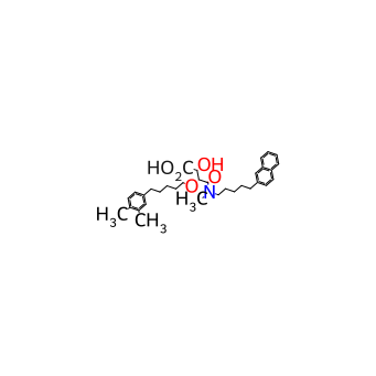 Cc1ccc(CCCCCOC(C(=O)N(C)CCCCCc2ccc3ccccc3c2)C(O)C(=O)O)cc1C